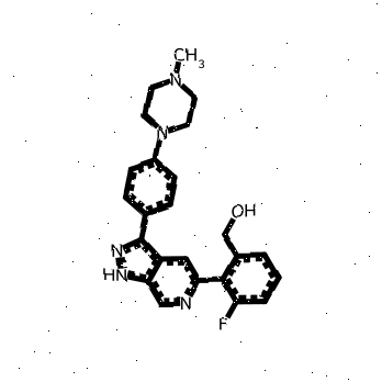 CN1CCN(c2ccc(-c3n[nH]c4cnc(-c5c(F)cccc5CO)cc34)cc2)CC1